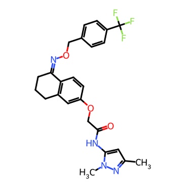 Cc1cc(NC(=O)COc2ccc3c(c2)CCC/C3=N/OCc2ccc(C(F)(F)F)cc2)n(C)n1